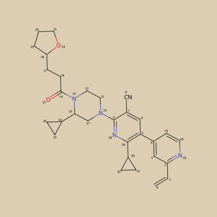 C=Cc1cc(-c2cc(C#N)c(N3CCN(C(=O)CCC4CCCO4)C(C4CC4)C3)nc2C2CC2)ccn1